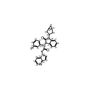 O=C1C(N(C(=O)Cn2ccc3ncccc32)c2cccc(F)c2)c2ccccc2N1C1CC2CC2C1